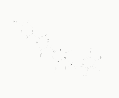 [2H]c1c(OC(F)(F)c2c(F)cc(-c3ccc(C4CCC(CC)CO4)cc3F)cc2F)cc(F)c(F)c1F